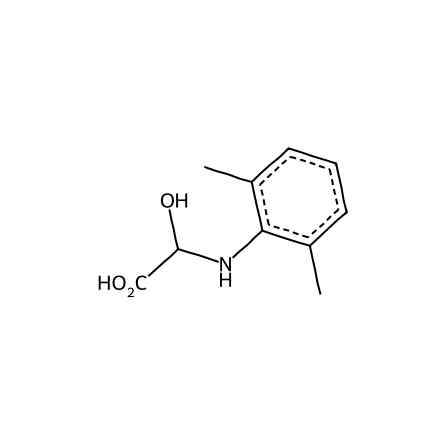 Cc1cccc(C)c1NC(O)C(=O)O